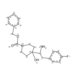 NC(Cc1ccc(F)cc1)C1(O)CCN(C(=O)OCc2ccccc2)CC1